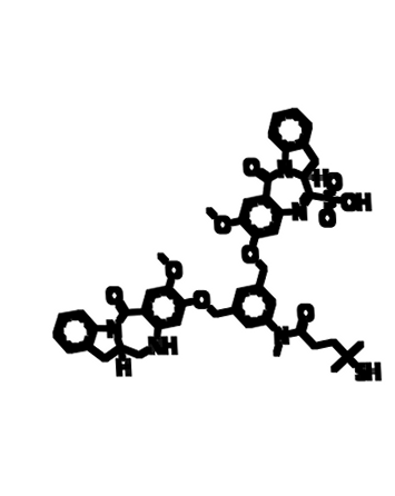 COc1cc2c(cc1OCc1cc(COc3cc4c(cc3OC)C(=O)N3c5ccccc5C[C@H]3CN4)cc(N(C)C(=O)CCC(C)(C)S)c1)N=C(S(=O)(=O)O)[C@@H]1Cc3ccccc3N1C2=O